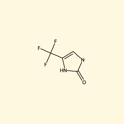 O=C1[N]C=C(C(F)(F)F)N1